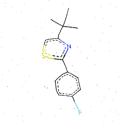 CC(C)(C)c1csc(-c2ccc(F)cc2)n1